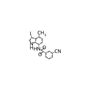 Cc1ccc(NS(=O)(=O)c2cccc(C#N)c2)c2[nH]cc(I)c12